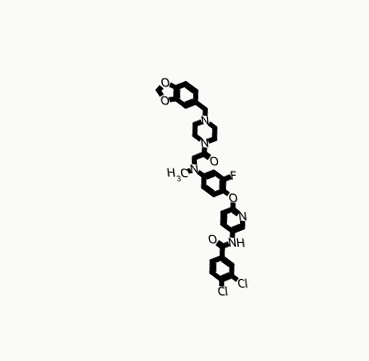 CN(CC(=O)N1CCN(Cc2ccc3c(c2)OCO3)CC1)c1ccc(Oc2ccc(NC(=O)c3ccc(Cl)c(Cl)c3)cn2)c(F)c1